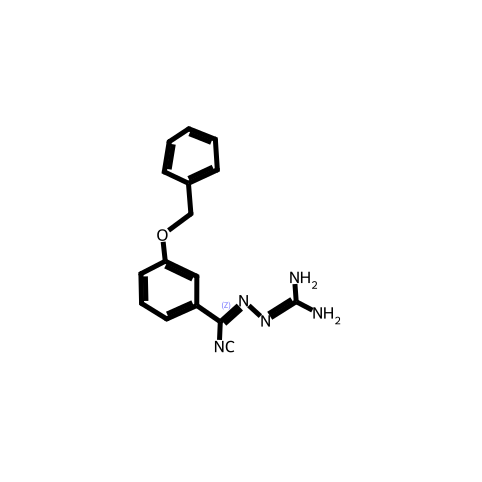 [C-]#[N+]/C(=N\N=C(N)N)c1cccc(OCc2ccccc2)c1